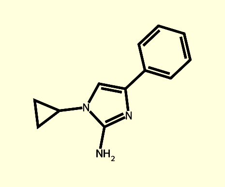 Nc1nc(-c2ccccc2)cn1C1CC1